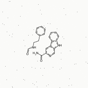 NC(=O)c1cc2c(cn1)[nH]c1ccccc12.O=CNCCc1ccccc1